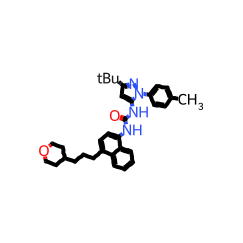 Cc1ccc(-n2nc(C(C)(C)C)cc2NC(=O)Nc2ccc(CCCC3CCOCC3)c3ccccc23)cc1